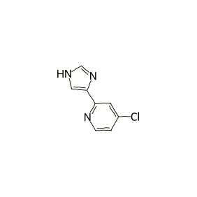 Clc1ccnc(-c2c[nH]cn2)c1